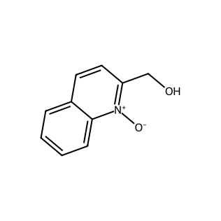 [O-][n+]1c(CO)ccc2ccccc21